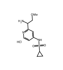 COCC(N)c1cc(NS(=O)(=O)C2CC2)ccn1.Cl